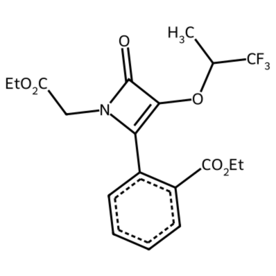 CCOC(=O)CN1C(=O)C(OC(C)C(F)(F)F)=C1c1ccccc1C(=O)OCC